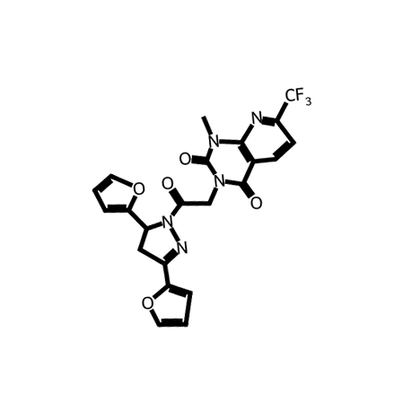 Cn1c(=O)n(CC(=O)N2N=C(c3ccco3)CC2c2ccco2)c(=O)c2ccc(C(F)(F)F)nc21